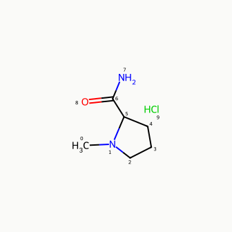 CN1CCCC1C(N)=O.Cl